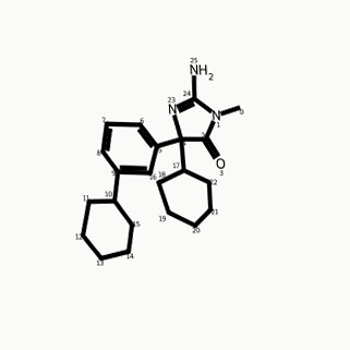 CN1C(=O)C(c2cccc(C3CCCCC3)c2)(C2CCCCC2)N=C1N